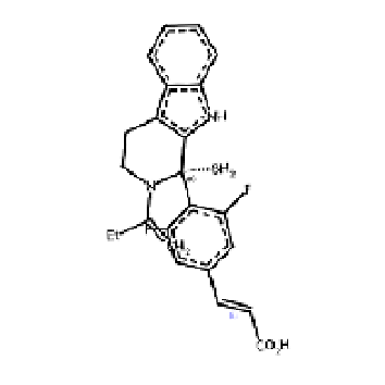 B[C@@]1(c2c(F)cc(/C=C/C(=O)O)cc2F)c2[nH]c3ccccc3c2CCN1C(=C)CC